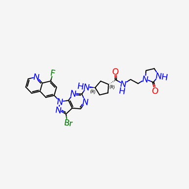 O=C(NCCN1CCNC1=O)[C@@H]1CC[C@@H](Nc2ncc3c(Br)nn(-c4cc(F)c5ncccc5c4)c3n2)C1